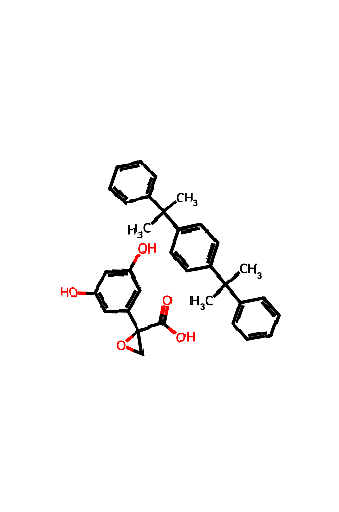 CC(C)(c1ccccc1)c1ccc(C(C)(C)c2ccccc2)cc1.O=C(O)C1(c2cc(O)cc(O)c2)CO1